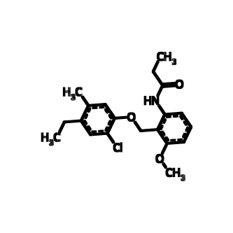 CCC(=O)Nc1cccc(OC)c1COc1cc(C)c(CC)cc1Cl